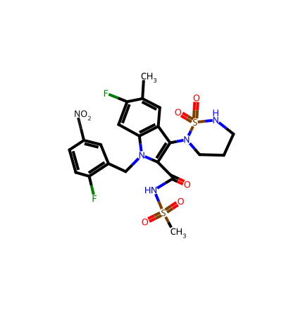 Cc1cc2c(N3CCCNS3(=O)=O)c(C(=O)NS(C)(=O)=O)n(Cc3cc([N+](=O)[O-])ccc3F)c2cc1F